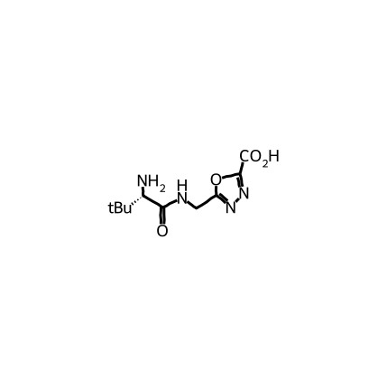 CC(C)(C)[C@H](N)C(=O)NCc1nnc(C(=O)O)o1